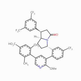 COc1ncc(-c2c(C)cc(C(=O)O)cc2C)cc1-c1ccc(C(F)(F)F)cc1[C@@H]1CC[C@H]2[C@@H](c3cc(C(F)(F)F)cc(C(F)(F)F)c3)CC(=O)N12